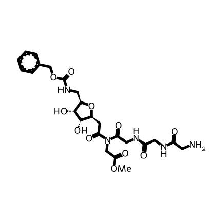 COC(=O)CN(C(=O)CNC(=O)CNC(=O)CN)C(=O)C[C@@H]1O[C@H](CNC(=O)OCc2ccccc2)[C@@H](O)[C@H]1O